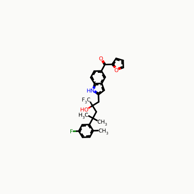 Cc1ccc(F)cc1C(C)(C)CC(O)(Cc1cc2cc(C(=O)c3ccco3)ccc2[nH]1)C(F)(F)F